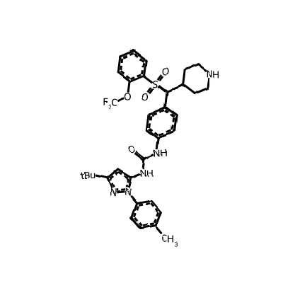 Cc1ccc(-n2nc(C(C)(C)C)cc2NC(=O)Nc2ccc(C(C3CCNCC3)S(=O)(=O)c3ccccc3OC(F)(F)F)cc2)cc1